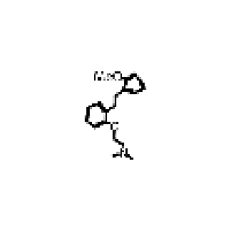 COc1ccccc1CCc1ccccc1OCCN(C)C